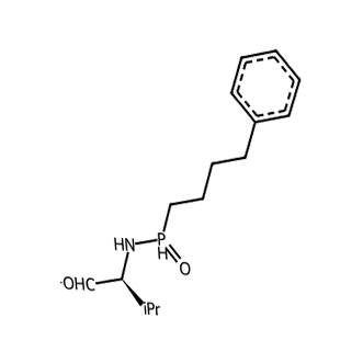 CC(C)[C@@H]([C]=O)N[PH](=O)CCCCc1ccccc1